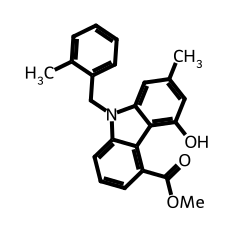 COC(=O)c1cccc2c1c1c(O)cc(C)cc1n2Cc1ccccc1C